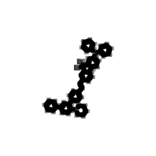 CCC1(CC)c2cc(/C=C/c3ccc(-c4cc(-c5ccccc5)ccc4N4CCCCC4)cc3)ccc2-c2ccc(N(c3ccccc3)c3ccccc3)cc21